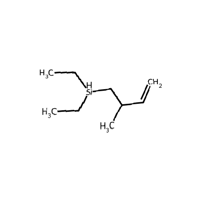 C=CC(C)C[SiH](CC)CC